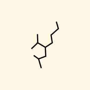 CCCCC(CC(C)C)[C](C)C